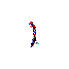 Cc1nn(-c2ccc(C#N)c(Cl)c2)c(C)c1Cc1ccc(C#CC2CCN(C3CCN(c4ccc5c(c4)C(=O)N(C4CCC(=O)NC4=O)C5=O)CC3)CC2)c(F)c1